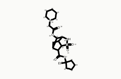 CCC1(OC(=O)C2C3CC4C(NS(=O)(=O)C42)C3OC(=O)CN2CCCCC2)CCCC1